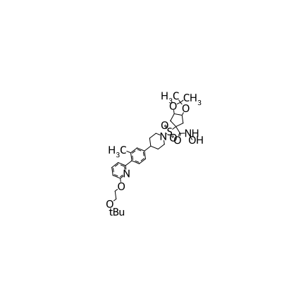 Cc1cc(C2CCN(S(=O)(=O)C3(C(=O)NO)CC4OC(C)(C)OC4C3)CC2)ccc1-c1cccc(OCCOC(C)(C)C)n1